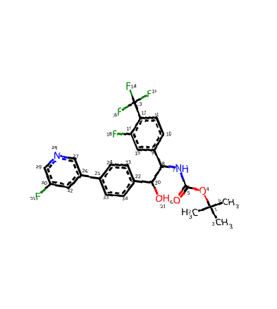 CC(C)(C)OC(=O)NC(c1ccc(C(F)(F)F)c(F)c1)C(O)c1ccc(-c2cncc(F)c2)cc1